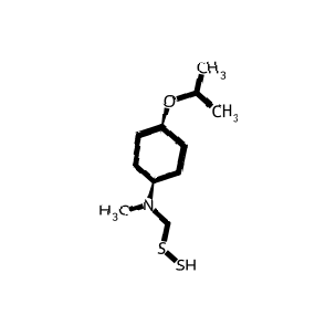 CC(C)O[C@H]1CC[C@@H](N(C)CSS)CC1